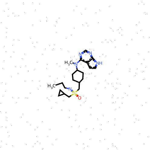 CCCN=S(=O)(CC1CC1)CC1CCC(N(C)c2ncnc3[nH]ccc23)CC1